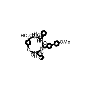 COc1ccc(-c2ccc(C[C@@H]3NC(=O)[C@H](Cc4cccs4)NC(=O)COc4ccc(cc4)C[C@@H](C(=O)O)NC(=O)[C@H](Cc4ccccc4)NC3=O)cc2)cc1